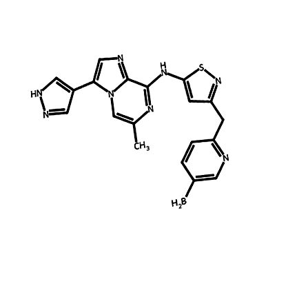 Bc1ccc(Cc2cc(Nc3nc(C)cn4c(-c5cn[nH]c5)cnc34)sn2)nc1